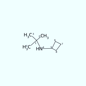 CC(C)(C)NC1CCC1